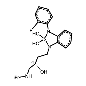 CC(C)NC[C@@H](O)CCN1c2ccccc2N(c2ccccc2F)S1(O)O